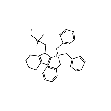 CC[Si](C)(C)CC1[C]([Ti]([CH2]c2ccccc2)([CH2]c2ccccc2)[CH2]c2ccccc2)=CC2=C1CCCC2